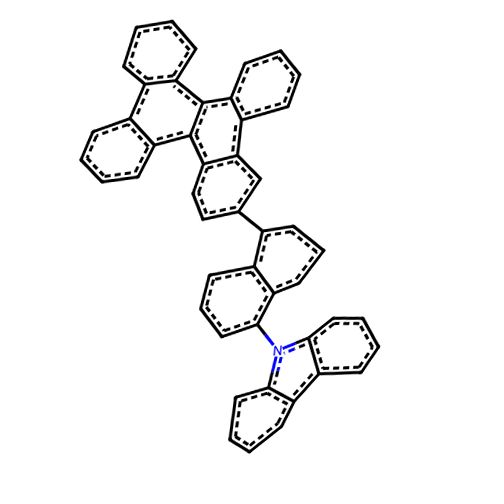 c1cc(-n2c3ccccc3c3ccccc32)c2cccc(-c3ccc4c(c3)c3ccccc3c3c5ccccc5c5ccccc5c43)c2c1